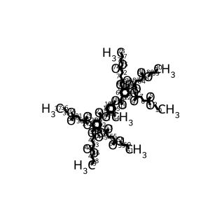 CCCOC(=O)CCC(=O)Oc1cc(C(=O)Oc2ccc(OC(=O)c3cc(OC(=O)CCC(=O)OCCC)c(OC(=O)CCC(=O)OCCC)c(OC(=O)CCC(=O)OCCC)c3)c(C)c2)cc(OC(=O)CCC(=O)OCCC)c1OC(=O)CCC(=O)OCCC